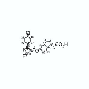 O=C(O)CC1CCc2cc(OCc3cc(F)nn3-c3ccc(Cl)cc3)ccc21